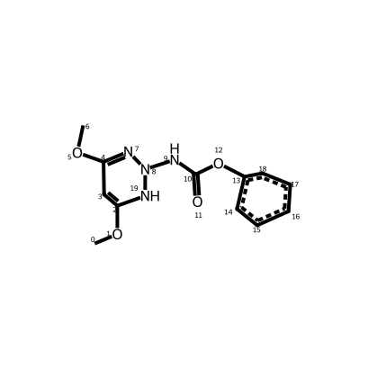 COC1=CC(OC)=NN(NC(=O)Oc2ccccc2)N1